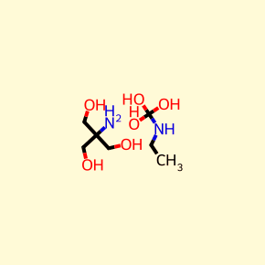 CCNC(O)(O)O.NC(CO)(CO)CO